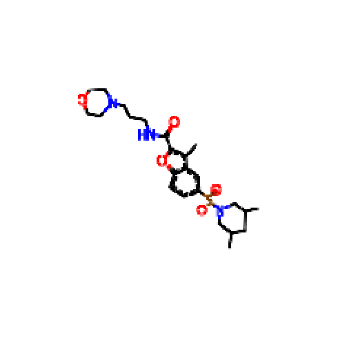 Cc1c(C(=O)NCCCN2CCOCC2)oc2ccc(S(=O)(=O)N3CC(C)CC(C)C3)cc12